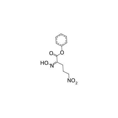 O=C(Oc1ccccc1)/C(CCC[N+](=O)[O-])=N\O